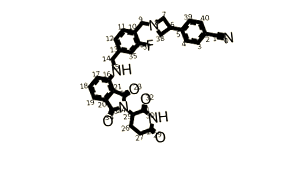 N#Cc1ccc(C2CN(Cc3ccc(CNc4cccc5c4C(=O)N(C4CCC(=O)NC4=O)C5=O)cc3F)C2)cc1